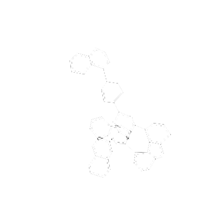 C1=CC(c2cccc3ccccc23)CC=C1c1nc(-c2ccc3ccccc3c2)nc(-c2cccc3oc4cccc(-c5ccc6ccccc6c5)c4c23)n1